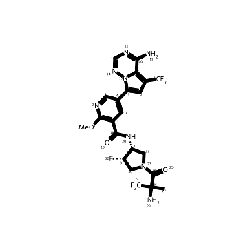 COc1ncc(-c2cc(C(F)(F)F)c3c(N)ncnn23)cc1C(=O)N[C@@H]1CN(C(=O)C(C)(N)C(F)(F)F)C[C@@H]1F